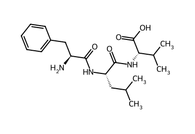 CC(C)C[C@H](NC(=O)[C@@H](N)Cc1ccccc1)C(=O)N[C@H](C(=O)O)C(C)C